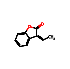 CC=C1C(=O)Oc2ccccc21